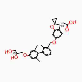 Cc1cc(OC[C@@H](O)CO)cc(C)c1-c1cccc(COc2ccc3c(c2)OC2(CC2)[C@@H]3CC(=O)O)c1C